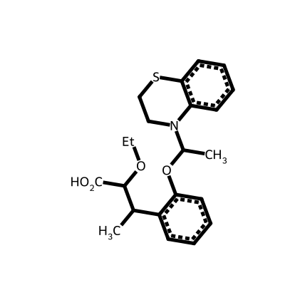 CCOC(C(=O)O)C(C)c1ccccc1OC(C)N1CCSc2ccccc21